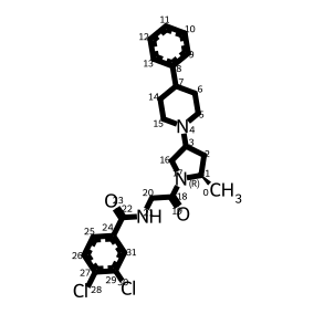 C[C@@H]1CC(N2CCC(c3ccccc3)CC2)CN1C(=O)CNC(=O)c1ccc(Cl)c(Cl)c1